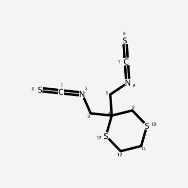 S=C=NCC1(CN=C=S)CSCCS1